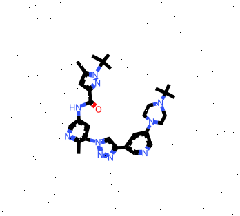 Cc1ncc(NC(=O)c2cc(C)n(C(C)(C)C)n2)cc1-n1cc(-c2cncc(N3CCN(C(C)(C)C)CC3)c2)nn1